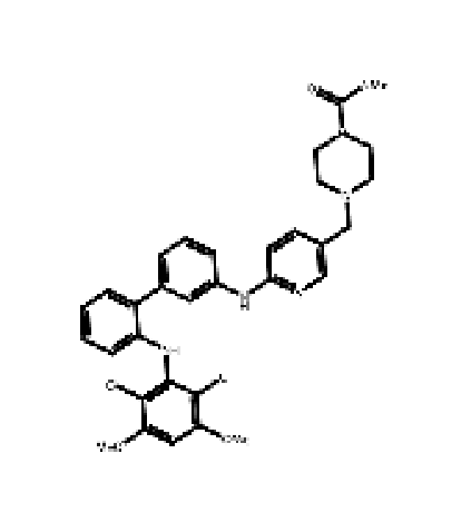 CNC(=O)N1CCN(Cc2ccc(Nc3cccc(-c4ccccc4Nc4c(Cl)c(OC)cc(OC)c4Cl)c3)nc2)CC1